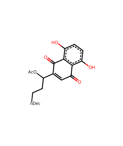 CCCCCCCCCCCCC(OC(C)=O)C1=CC(=O)c2c(O)ccc(O)c2C1=O